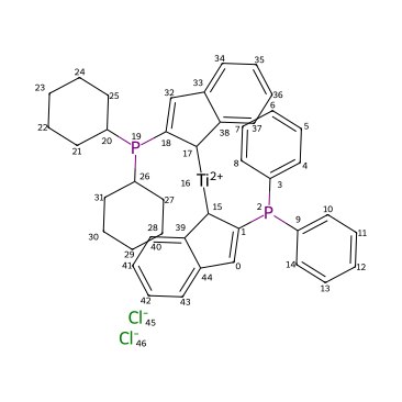 C1=C(P(c2ccccc2)c2ccccc2)[CH]([Ti+2][CH]2C(P(C3CCCCC3)C3CCCCC3)=Cc3ccccc32)c2ccccc21.[Cl-].[Cl-]